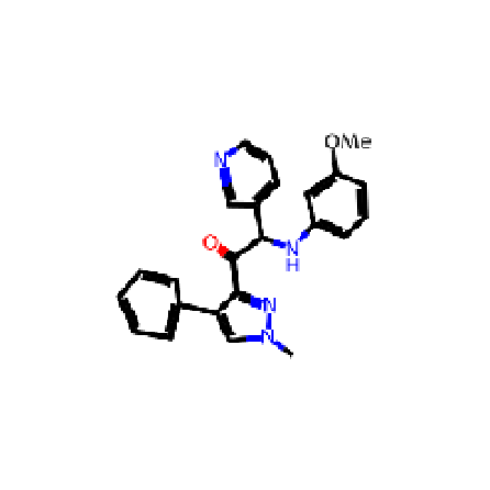 COc1cccc(NC(C(=O)c2nn(C)cc2-c2ccccc2)c2cccnc2)c1